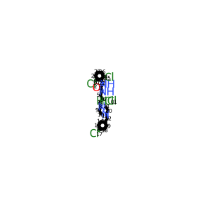 Cl.Cl.O=C(NCCCN1CCN(Cc2ccc(Cl)cc2)CC1)Nc1c(Cl)cccc1Cl